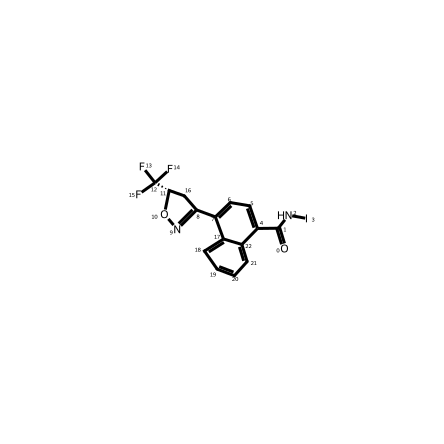 O=C(NI)c1ccc(C2=NO[C@H](C(F)(F)F)C2)c2ccccc12